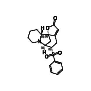 O=C1C=C2C[C@H](S(=O)(=O)c3ccccc3)[C@@H]3C[C@@]2(O1)[C@H]1CCCCN31